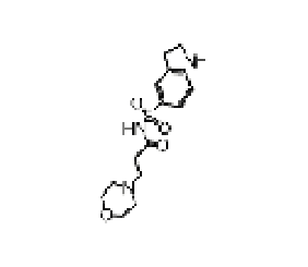 O=C(CCN1CCOCC1)NS(=O)(=O)c1ccc2c(c1)CCN2